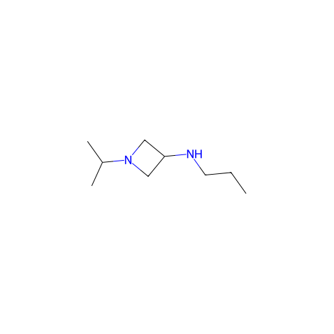 CCCNC1CN(C(C)C)C1